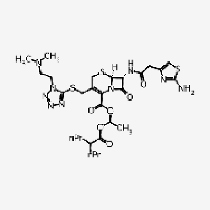 CCCC(CCC)C(=O)OC(C)OC(=O)C1=C(CSc2nnnn2CCN(C)C)CS[C@H]2[C@H](NC(=O)Cc3csc(N)n3)C(=O)N12